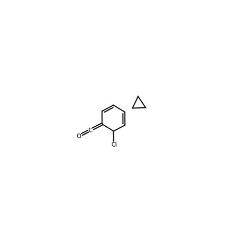 C1CC1.O=C=C1C=CC=CC1Cl